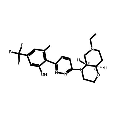 CCN1CC[C@H]2OCCN(c3ccc(-c4c(C)cc(C(F)(F)F)cc4O)nn3)[C@@H]2C1